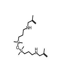 C=C(C)CNCCC[Si](C)(C)O[Si](C)(C)CCCNCC(=C)C